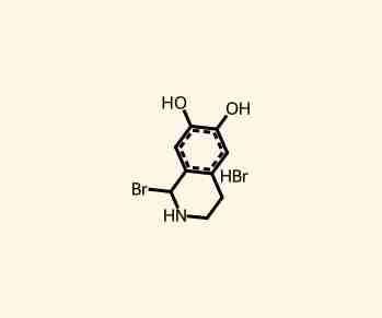 Br.Oc1cc2c(cc1O)C(Br)NCC2